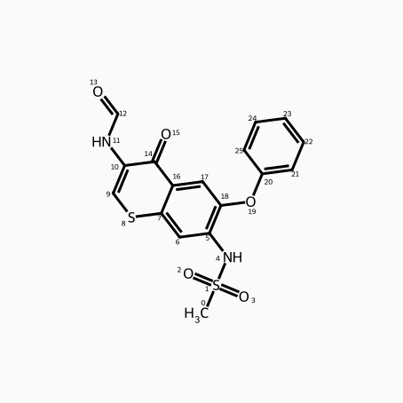 CS(=O)(=O)Nc1cc2scc(NC=O)c(=O)c2cc1Oc1ccccc1